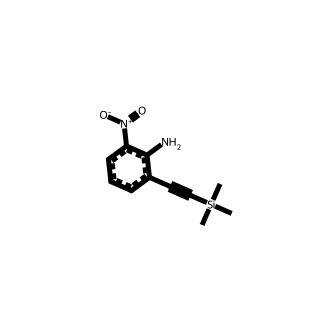 C[Si](C)(C)C#Cc1cccc([N+](=O)[O-])c1N